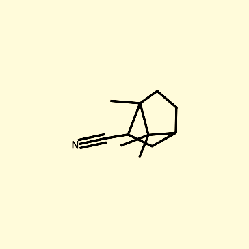 CC1(C)C2CCC1(C)C(C#N)C2